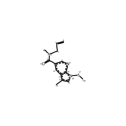 C=CCN(C)C(=O)c1cnc2c(c1)c(C)cn2SI